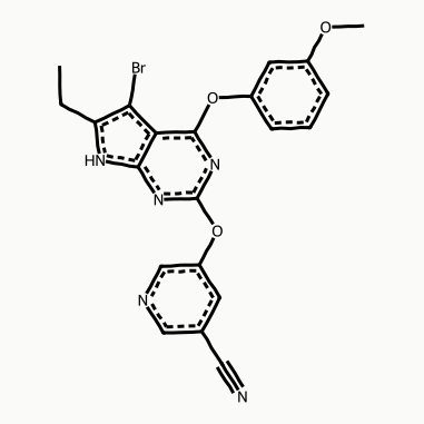 CCc1[nH]c2nc(Oc3cncc(C#N)c3)nc(Oc3cccc(OC)c3)c2c1Br